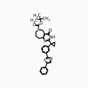 CC(C)(C)OC(=O)N1CCCc2nc(C3(c4cccc(-c5ncc(-c6ccccc6)s5)c4)CC3)[nH]c(=O)c2C1